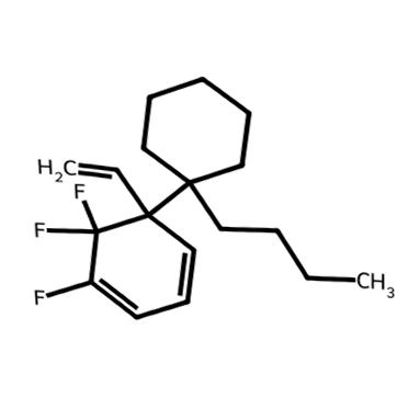 C=CC1(C2(CCCC)CCCCC2)C=CC=C(F)C1(F)F